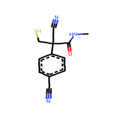 CNC(=O)C(C#N)(CS)c1ccc(C#N)cc1